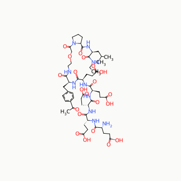 CCNC(=O)[C@H](CC(C)C)NC(=O)[C@@H]1CCCN1C(=O)COCCNC(=O)[C@H](Cc1ccc(C(C)=O)cc1)NC(=O)[C@@H](CCC(=O)O)NC(=O)[C@@H](CCC(=O)O)NC(=O)[C@@H](CCC(=O)O)NC(=O)[C@@H](CCC(=O)O)NC(=O)[C@H](N)CCC(=O)O